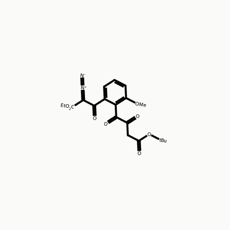 CCOC(=O)C(=[N+]=[N-])C(=O)c1cccc(OC)c1C(=O)C(=O)CC(=O)OC(C)(C)C